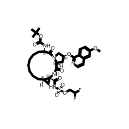 COc1ccc2c(O[C@@H]3C[C@H]4C(=O)N[C@]5(C(=O)NS(=O)(=O)OCC(F)F)C[C@H]5CCCCCCC[C@H](NC(=O)OC(C)(C)C)C(=O)N4C3)nccc2c1